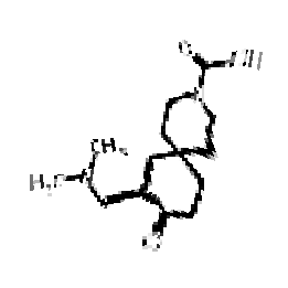 CN(C)/C=C1\CC2(CCC1=O)CCN(C(=O)O)CC2